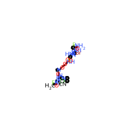 C=C(F)C(=O)N1CCN(c2nc(OC[C@@H]3CCCN3CCOCCOCCNS(=O)(=O)c3ccc(Nc4ncc(Br)c(Nc5cccc(F)c5C(N)=O)n4)cc3)nc3c2CCN(c2cccc4cccc(Cl)c24)C3)C[C@@H]1CC#N